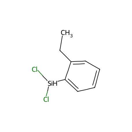 CCc1ccccc1[SiH](Cl)Cl